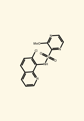 COc1nccnc1S(=O)(=O)Nc1c(Cl)ccc2cccnc12